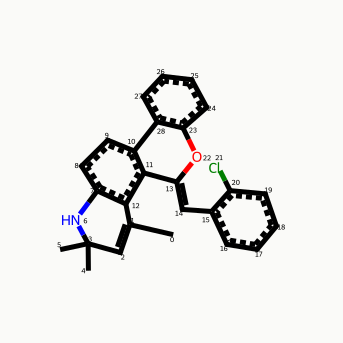 CC1=CC(C)(C)Nc2ccc3c(c21)C(=Cc1ccccc1Cl)Oc1ccccc1-3